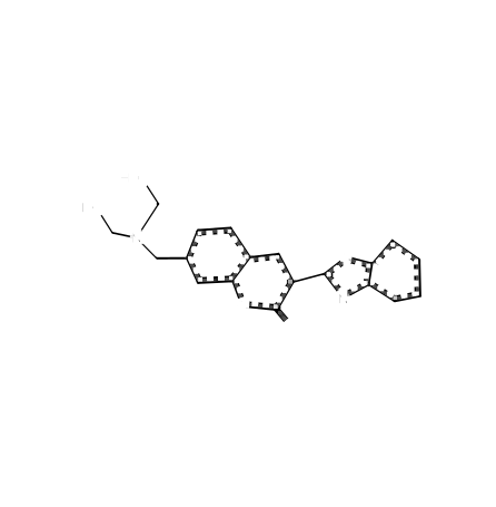 CCN(CC)Cc1ccc2cc(-c3nc4ccccc4s3)c(=O)oc2c1